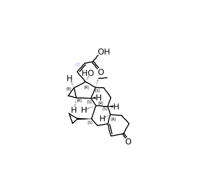 CC[C@]12CC[C@H]3[C@H]([C@@H]1[C@H]1C[C@H]1[C@@]2(O)/C=C\C(=O)O)[C@H](C1CC1)CC1=CC(=O)CC[C@@H]13